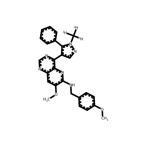 [2H]C([2H])([2H])n1ncc(-c2ncnc3cc(OC)c(NCc4ccc(OC)cc4)nc23)c1-c1ccccc1